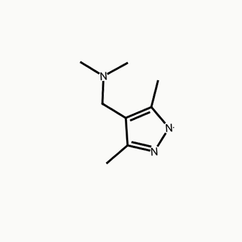 CC1=N[N]C(C)=C1CN(C)C